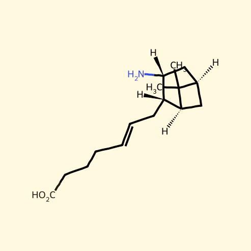 CC1(C)[C@H]2C[C@@H](N)[C@@H](C/C=C/CCCC(=O)O)[C@@H]1C2